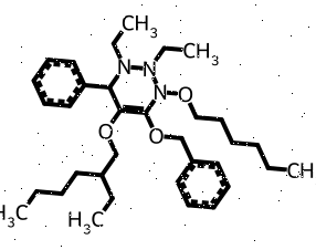 CCCCCCON1C(OCc2ccccc2)=C(OCC(CC)CCCC)C(c2ccccc2)N(CC)N1CC